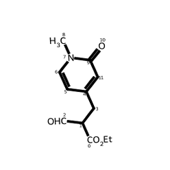 CCOC(=O)C(C=O)Cc1ccn(C)c(=O)c1